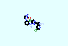 CN1CCN(C2CCCC(Nc3nc(-c4c[nH]c5c4=CC(Cl)CN=5)ncc3F)C2)C1=O